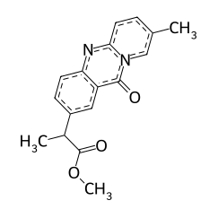 COC(=O)C(C)c1ccc2nc3ccc(C)cn3c(=O)c2c1